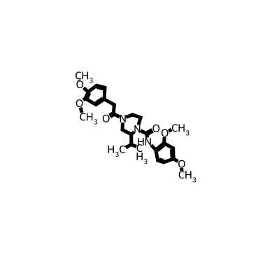 COc1ccc(NC(=O)N2CCN(C(=O)Cc3ccc(OC)c(OC)c3)CC2C(C)C)c(OC)c1